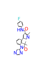 Cc1ncc(-c2cccc3c2C(C)(C)C(=O)N3c2cnccn2)cc1C(=O)Nc1ccc(F)cc1